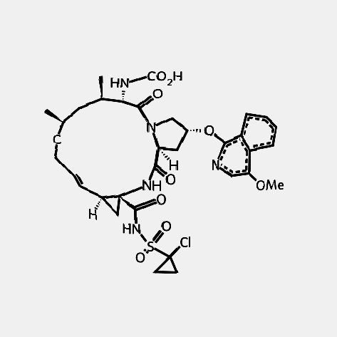 COc1cnc(O[C@@H]2C[C@H]3C(=O)N[C@]4(C(=O)NS(=O)(=O)C5(Cl)CC5)C[C@H]4/C=C\CC[C@@H](C)C[C@@H](C)[C@H](NC(=O)O)C(=O)N3C2)c2ccccc12